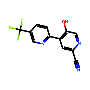 N#Cc1cc(-c2ccc(C(F)(F)F)cn2)c(O)cn1